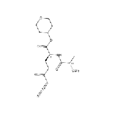 CO[C@@H](C)C(=O)N[C@@H](CCC(=O)C=[N+]=[N-])C(=O)OC1CCOCC1